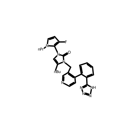 CCCCc1cn(-c2c(F)ccn2CCC)c(=O)n1Cc1cnccc1-c1ccccc1-c1nnn[nH]1